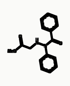 COC(=O)CNN(C(=O)c1ccccc1)c1ccccc1